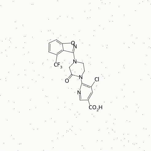 O=C(O)c1cnc(N2CCN(c3noc4cccc(C(F)(F)F)c34)CC2=O)c(Cl)c1